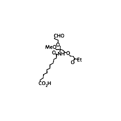 CCC(=O)CCOCCC(COC)(COCCC=O)NC(=O)CCCCCCCCCCC(=O)O